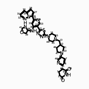 O=C1CC[C@H](c2ccc(N3CCC(CN4CCN(c5nnc(-c6cnc(-c7ccc8cccnn78)cc6NC6COCN6)s5)CC4)CC3)cn2)C(=O)N1